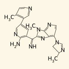 Cc1ccncc1-c1cnc(N)c(C(=N)c2nc3c(N4C=NC(C)C4)ccnc3n2C)c1